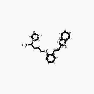 CC(CCCOc1ccccc1C=Cc1nc2ccccc2o1)n1ccnc1